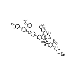 CC(C)Oc1ccccc1[C@H]1CN(c2ccc(Cl)c(F)c2)CCN1C1CC2(CCN(c3ccc(C(=O)NS(=O)(=O)c4ccc(NCC5CCC(C)(O)CC5)c([N+](=O)[O-])c4)c(N4c5cc6cc[nH]c6nc5O[C@H]5COCC[C@@H]54)c3)CC2)C1